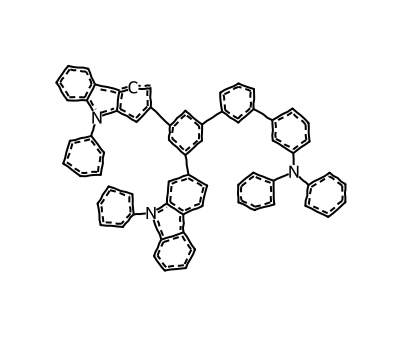 c1ccc(N(c2ccccc2)c2cccc(-c3cccc(-c4cc(-c5ccc6c7ccccc7n(-c7ccccc7)c6c5)cc(-c5ccc6c7ccccc7n(-c7ccccc7)c6c5)c4)c3)c2)cc1